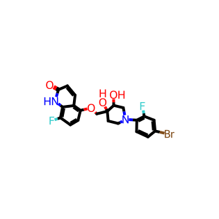 O=c1ccc2c(OCC3(O)CCN(c4ccc(Br)cc4F)CC3O)ccc(F)c2[nH]1